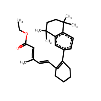 CCOC(=O)C=C(C)C=CC1=C(c2ccc3c(c2)C(C)(C)CCC3(C)C)CCCC1